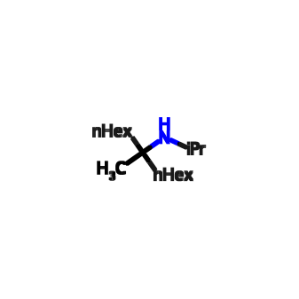 CCCCCCC(C)(CCCCCC)NC(C)C